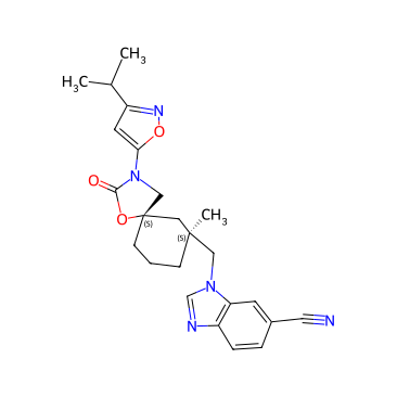 CC(C)c1cc(N2C[C@@]3(CCC[C@](C)(Cn4cnc5ccc(C#N)cc54)C3)OC2=O)on1